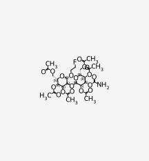 CC(=O)OC[C@@H]1O[C@H](OCCF)[C@@H](O[C@H]2O[C@H](COC(C)=O)[C@@H](OC(C)=O)[C@H](OC(N)=O)[C@@H]2OC(C)=O)[C@@H](OC(C)=O)[C@@H]1OC(C)=O